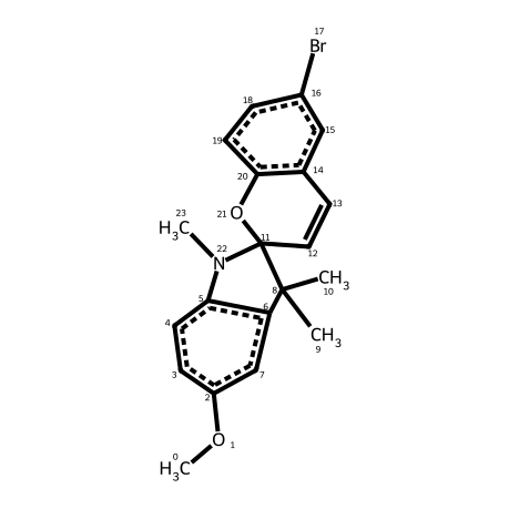 COc1ccc2c(c1)C(C)(C)C1(C=Cc3cc(Br)ccc3O1)N2C